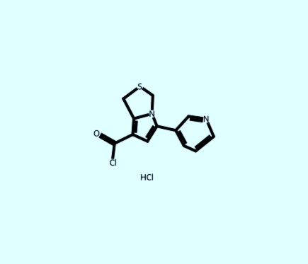 Cl.O=C(Cl)c1cc(-c2cccnc2)n2c1CSC2